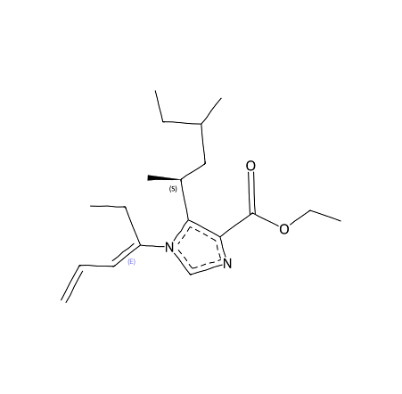 C=C/C=C(\CC)n1cnc(C(=O)OCC)c1[C@@H](C)CC(C)CC